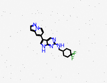 FC1(F)CCC(CNc2ncc3c(-c4ccn5nccc5c4)c[nH]c3n2)CC1